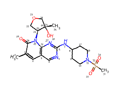 Cc1cc2cnc(NC3CCN(S(C)(=O)=O)CC3)nc2n([C@H]2COC[C@]2(C)O)c1=O